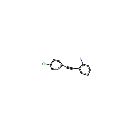 Clc1ccc(C#Cc2ccccc2I)cc1